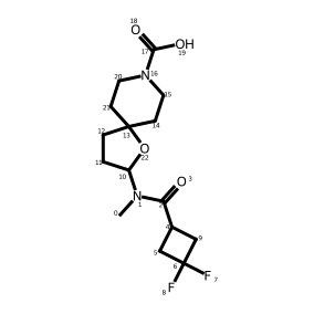 CN(C(=O)C1CC(F)(F)C1)C1CCC2(CCN(C(=O)O)CC2)O1